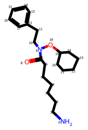 NCCCCCCC(=O)N(CCc1ccccc1)OC1CCCCC1